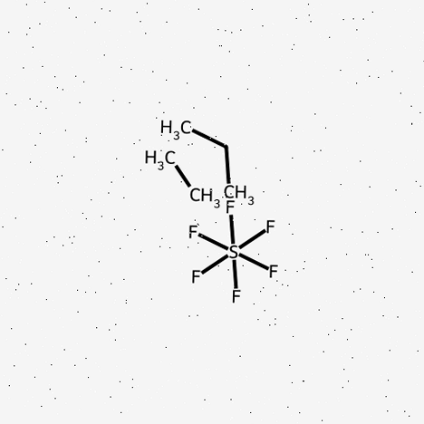 CC.CCC.FS(F)(F)(F)(F)F